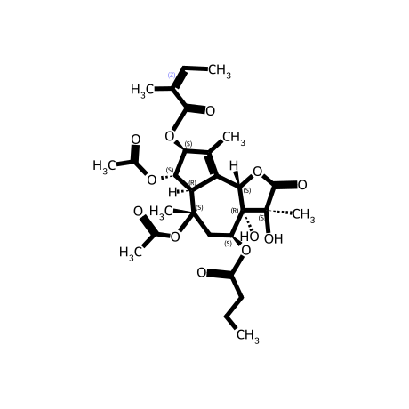 C/C=C(/C)C(=O)O[C@H]1C(C)=C2[C@H]([C@@H]1OC(C)=O)[C@@](C)(OC(C)=O)C[C@H](OC(=O)CCC)[C@@]1(O)[C@H]2OC(=O)[C@@]1(C)O